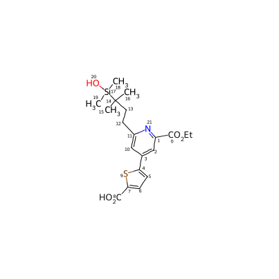 CCOC(=O)c1cc(-c2ccc(C(=O)O)s2)cc(CCC(C)(C)[Si](C)(C)O)n1